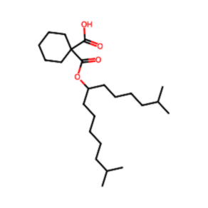 CC(C)CCCCCC(CCCCC(C)C)OC(=O)C1(C(=O)O)CCCCC1